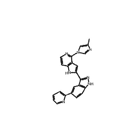 Cc1cn(-c2nccc3[nH]c(-c4n[nH]c5ccc(-c6ccccn6)cc45)cc23)cn1